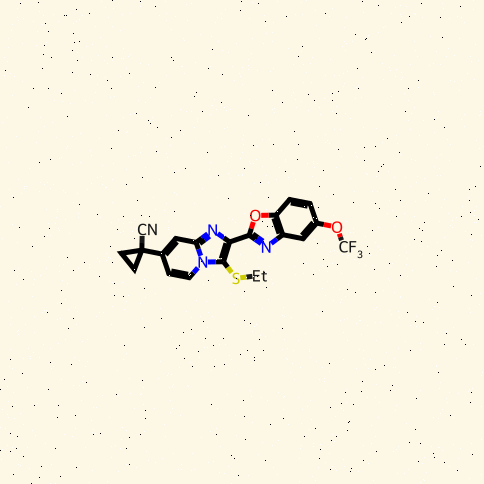 CCSc1c(-c2nc3cc(OC(F)(F)F)ccc3o2)nc2cc(C3(C#N)CC3)ccn12